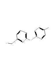 Clc1ccc(Nc2cccc(CBr)c2)cc1